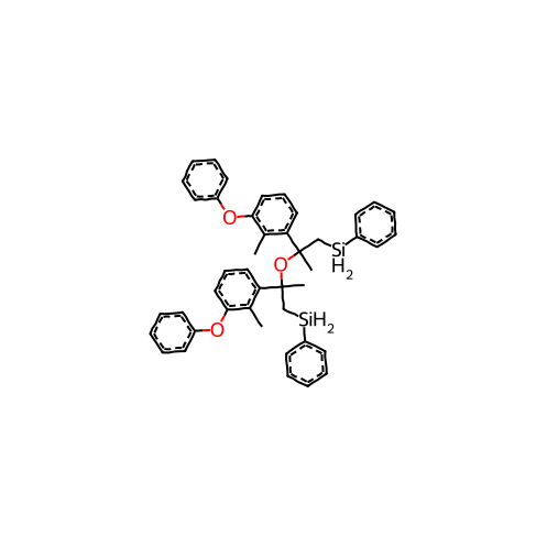 Cc1c(Oc2ccccc2)cccc1C(C)(C[SiH2]c1ccccc1)OC(C)(C[SiH2]c1ccccc1)c1cccc(Oc2ccccc2)c1C